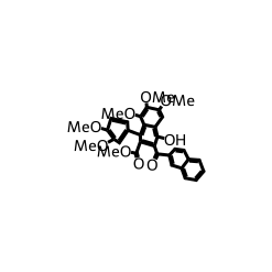 COC(=O)c1c(C(=O)c2ccc3ccccc3c2)c(O)c2cc(OC)c(OC)c(OC)c2c1-c1ccc(OC)c(OC)c1